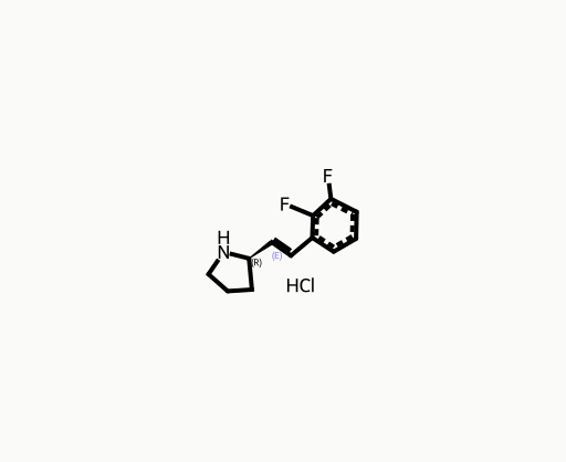 Cl.Fc1cccc(/C=C/[C@H]2CCCN2)c1F